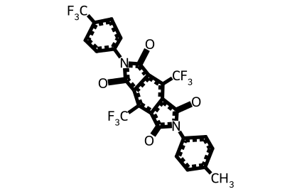 Cc1ccc(-n2c(=O)c3c(C(F)(F)F)c4c(=O)n(-c5ccc(C(F)(F)F)cc5)c(=O)c4c(C(F)(F)F)c3c2=O)cc1